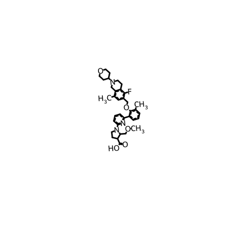 COCC1C(C(=O)O)CCN1c1cccc(-c2cccc(C)c2OCc2cc(C)c3c(c2F)CCN(C2CCOCC2)C3)n1